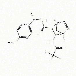 COc1ccc([C@@H](C)NC(=O)[C@H]2[C@@H]3C=C[C@@](C)(C3)[C@H]2NC(=O)C(F)(F)F)cc1